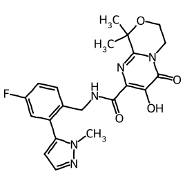 Cn1nccc1-c1cc(F)ccc1CNC(=O)c1nc2n(c(=O)c1O)CCOC2(C)C